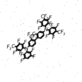 Fc1cc(F)c(F)c(N(c2ccc(-c3ccc(N(c4c(F)c(F)c(C(F)(F)F)c(F)c4F)c4c(F)c(F)c(C(F)(F)F)c(F)c4F)cc3C(F)(F)F)c(C(F)(F)F)c2)c2c(F)c(F)c(C(F)(F)F)c(F)c2F)c1F